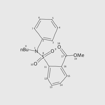 CCCCN(c1ccccc1)S(=O)(=O)c1ccccc1C(=O)OC